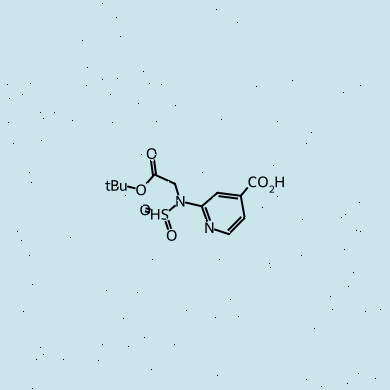 CC(C)(C)OC(=O)CN(c1cc(C(=O)O)ccn1)[SH](=O)=O